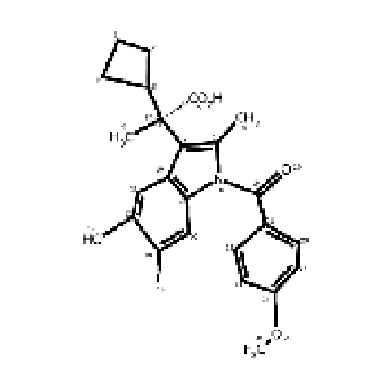 Cc1c([C@](C)(C(=O)O)C2CCC2)c2cc(O)c(F)cc2n1C(=O)c1ccc(OC(F)(F)F)cc1